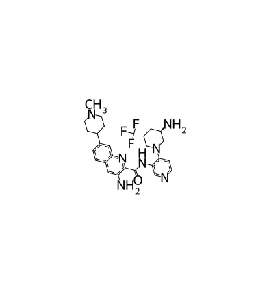 CN1CCC(c2ccc3cc(N)c(C(=O)Nc4cnccc4N4C[C@H](N)C[C@@H](C(F)(F)F)C4)nc3c2)CC1